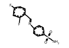 NS(=O)(=O)c1ccc(N=Cc2ccc(F)cc2F)cc1